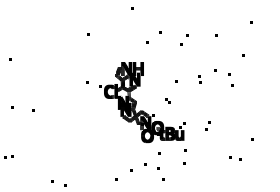 CC(C)(C)OC(=O)N1CCC2(CCn3nc(-c4cnc5[nH]ccc5c4Cl)cc32)C1